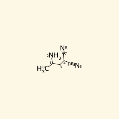 CC(N)CC(C#N)C#N